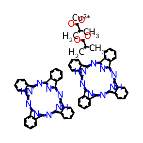 C=C(C)C(=O)[O-].C=C(C)C(=O)[O-].[Cu+2].c1ccc2c(c1)-c1nc-2nc2[nH]c(nc3nc(nc4[nH]c(n1)c1ccccc41)-c1ccccc1-3)c1ccccc21.c1ccc2c(c1)-c1nc-2nc2[nH]c(nc3nc(nc4[nH]c(n1)c1ccccc41)-c1ccccc1-3)c1ccccc21